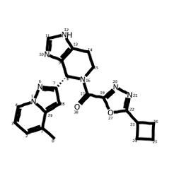 Cc1cccn2nc([C@@H]3c4nc[nH]c4CCN3C(=O)c3nnc(C4CCC4)o3)cc12